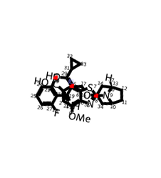 COc1cc(C(=O)O)cc2sc(N3C4CC[C@H]3CC(OC/C(C(=N)c3c(F)cccc3F)=C(/O)C3CC3)C4)nc12